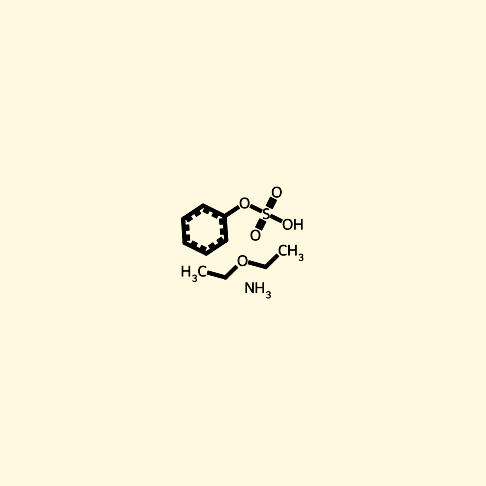 CCOCC.N.O=S(=O)(O)Oc1ccccc1